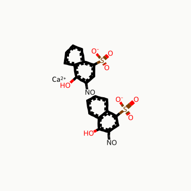 O=Nc1cc(S(=O)(=O)[O-])c2ccccc2c1O.O=Nc1cc(S(=O)(=O)[O-])c2ccccc2c1O.[Ca+2]